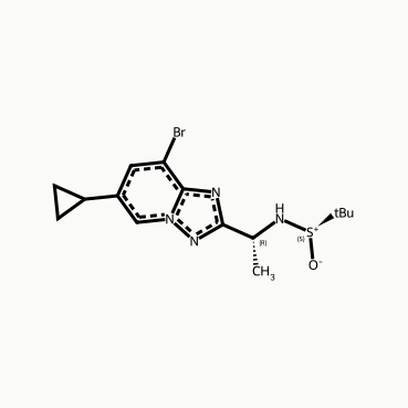 C[C@@H](N[S@+]([O-])C(C)(C)C)c1nc2c(Br)cc(C3CC3)cn2n1